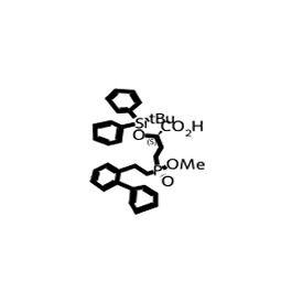 COP(=O)(CCc1ccccc1-c1ccccc1)CC[C@H](O[Si](c1ccccc1)(c1ccccc1)C(C)(C)C)C(=O)O